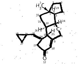 C[C@@]12CCC[C@H]1[C@@H]1CCC3=CC(=O)C/C(=C\C4CC4)[C@@H]3[C@H]1CC2